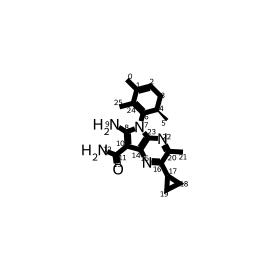 CC1=CC[C@@H](C)C(n2c(N)c(C(N)=O)c3nc(C4CC4)c(C)nc32)=C1C